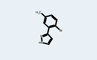 Cc1ccc(Br)c(-c2cc[nH]n2)c1